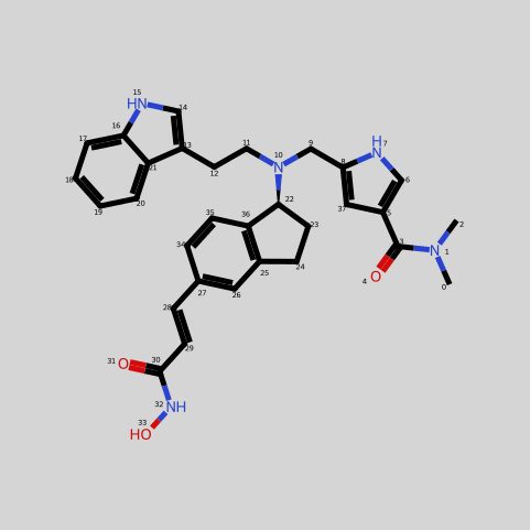 CN(C)C(=O)c1c[nH]c(CN(CCc2c[nH]c3ccccc23)[C@H]2CCc3cc(/C=C/C(=O)NO)ccc32)c1